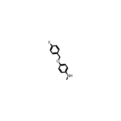 CNc1ccc(OCc2ccc(F)cc2)cc1